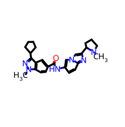 CN1CCCC1c1cn2cc(NC(=O)c3ccc4c(c3)c(C3CCCC3)nn4C)ccc2n1